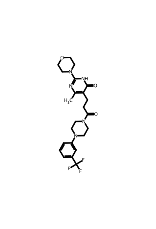 Cc1nc(N2CCOCC2)[nH]c(=O)c1CCC(=O)N1CCN(c2cccc(C(F)(F)F)c2)CC1